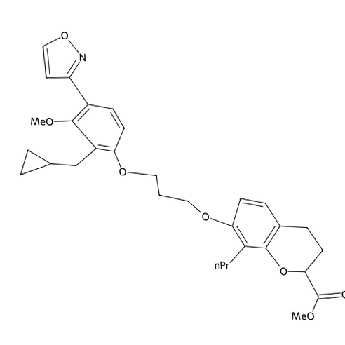 CCCc1c(OCCCOc2ccc(-c3ccon3)c(OC)c2CC2CC2)ccc2c1OC(C(=O)OC)CC2